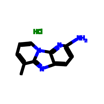 Cc1cccn2c1nc1ccc(N)nc12.Cl